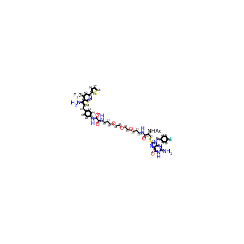 CC(=O)N[C@@H](CSc1nc2c(=O)[nH]c(N)nc2n1Cc1ccc(F)cc1)C(=O)NCCCOCCOCCOCCCNC(=O)C(=O)Nc1ccc(Cc2sc3nc(-c4cccs4)cc(C(F)(F)F)c3c2N)cc1